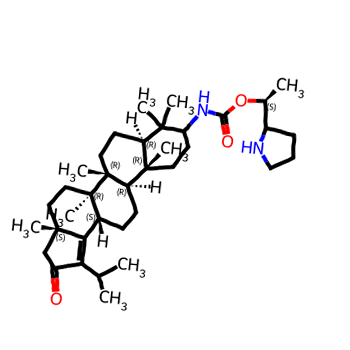 CC(C)C1=C2[C@H]3CC[C@@H]4[C@@]5(C)CCC(NC(=O)O[C@@H](C)C6CCCN6)C(C)(C)[C@@H]5CC[C@@]4(C)[C@]3(C)CC[C@@]2(C)CC1=O